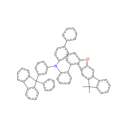 CC1(C)c2ccccc2-c2cc3oc4cccc(-c5ccccc5N(c5ccc(-c6ccccc6)cc5)c5cccc(C6(c7ccccc7)c7ccccc7-c7ccccc76)c5)c4c3cc21